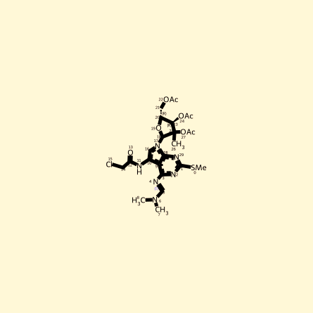 CSc1nc(/N=C/N(C)C)c2c(NC(=O)CCl)cn(C3O[C@H](COC(C)=O)[C@@H](OC(C)=O)C3(C)OC(C)=O)c2n1